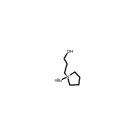 CCCC[N+]1(CCCO)CCCC1